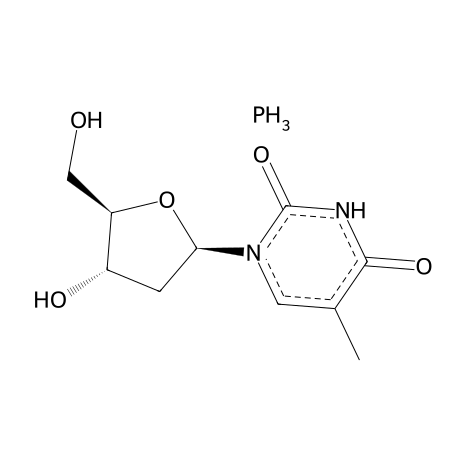 Cc1cn([C@H]2C[C@H](O)[C@@H](CO)O2)c(=O)[nH]c1=O.P